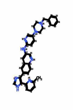 Cc1cccc(-c2[nH]cnc2-c2ccc3ncc(Nc4ccc(N5CCN(Cc6ccccc6)CC5)cn4)cc3c2)n1